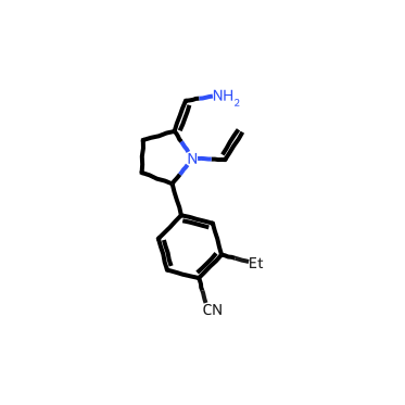 C=CN1/C(=C\N)CCC1c1ccc(C#N)c(CC)c1